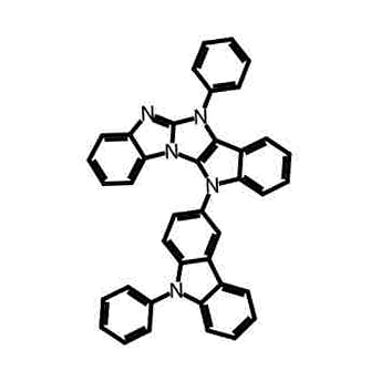 c1ccc(-n2c3ccccc3c3cc(-n4c5ccccc5c5c4n4c6ccccc6nc4n5-c4ccccc4)ccc32)cc1